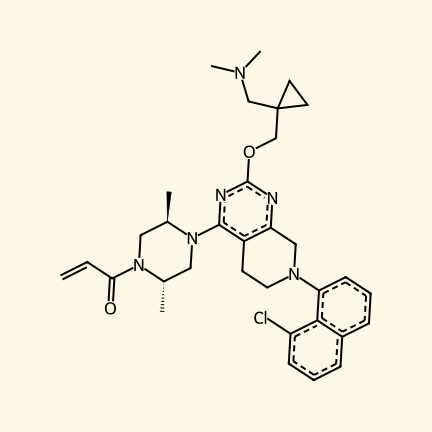 C=CC(=O)N1C[C@@H](C)N(c2nc(OCC3(CN(C)C)CC3)nc3c2CCN(c2cccc4cccc(Cl)c24)C3)C[C@@H]1C